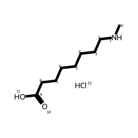 CNCCCCCCCC(=O)O.Cl